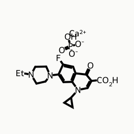 CCN1CCN(c2cc3c(cc2F)c(=O)c(C(=O)O)cn3C2CC2)CC1.O=P([O-])([O-])O.[Ca+2]